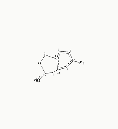 OC1CCc2ccc(F)cc2C1